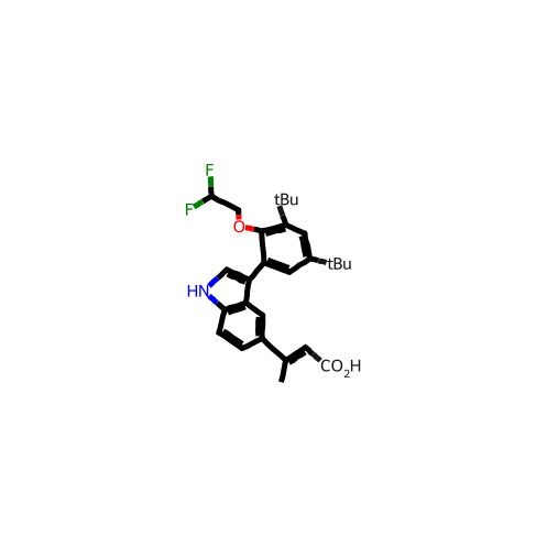 CC(=CC(=O)O)c1ccc2[nH]cc(-c3cc(C(C)(C)C)cc(C(C)(C)C)c3OCC(F)F)c2c1